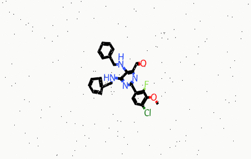 COc1c(Cl)ccc(-c2nc(C=O)c(NCc3ccccc3)c(NCc3ccccc3)n2)c1F